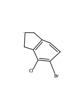 Clc1c(Br)ccc2c1C[CH]C2